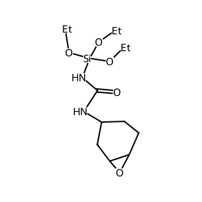 CCO[Si](NC(=O)NC1CCC2OC2C1)(OCC)OCC